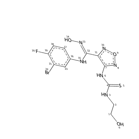 OCCNC(=S)Nc1nonc1/C(=N/O)Nc1ccc(F)c(Br)c1